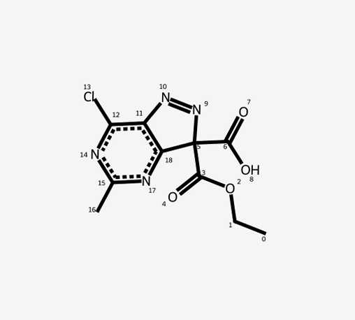 CCOC(=O)C1(C(=O)O)N=Nc2c(Cl)nc(C)nc21